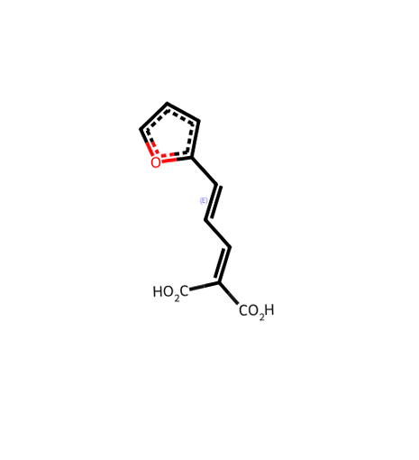 O=C(O)C(=C/C=C/c1ccco1)C(=O)O